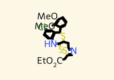 CCOC(=O)Cc1cnc(CC2SC(c3cccc(OC)c3OC)c3cc(Cl)ccc3NC2=S)s1